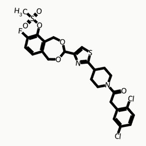 CS(=O)(=O)Oc1c(F)ccc2c1COC(c1csc(C3CCN(C(=O)Cc4cc(Cl)ccc4Cl)CC3)n1)OC2